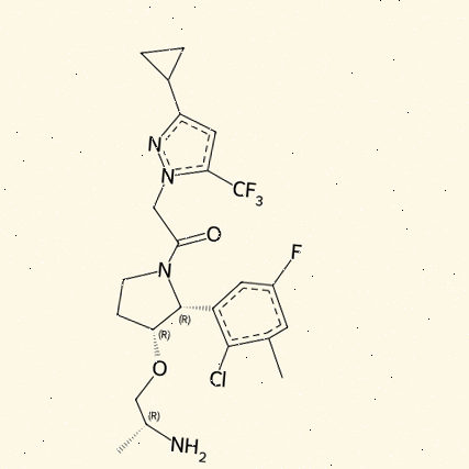 Cc1cc(F)cc([C@@H]2[C@H](OC[C@@H](C)N)CCN2C(=O)Cn2nc(C3CC3)cc2C(F)(F)F)c1Cl